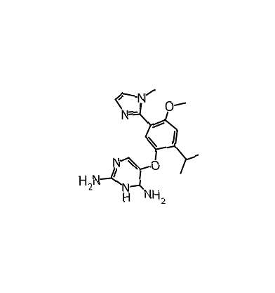 COc1cc(C(C)C)c(OC2=CN=C(N)NC2N)cc1-c1nccn1C